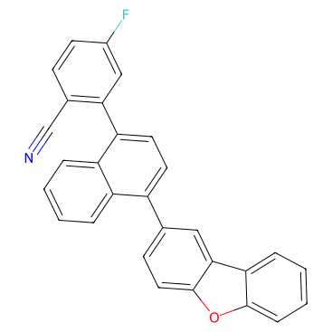 N#Cc1ccc(F)cc1-c1ccc(-c2ccc3oc4ccccc4c3c2)c2ccccc12